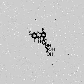 CSc1ccc(Nc2c(-c3nnc(NC[C@H](O)CO)o3)ccc(F)c2F)c(F)c1